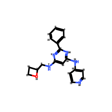 c1ccc(-c2nc(NCC3CCO3)cc(Nc3ccncc3)n2)cc1